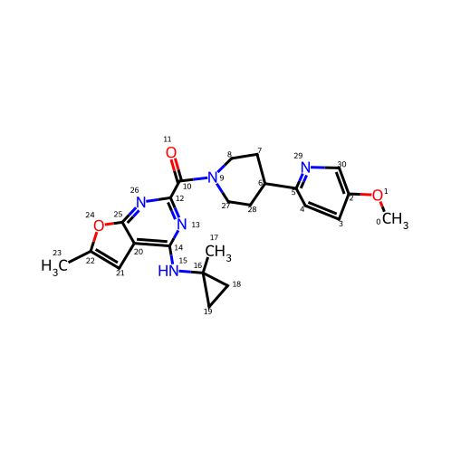 COc1ccc(C2CCN(C(=O)c3nc(NC4(C)CC4)c4cc(C)oc4n3)CC2)nc1